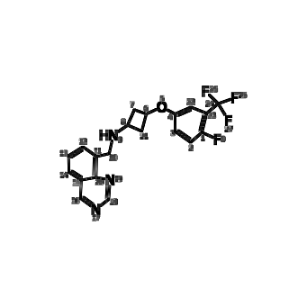 Fc1ccc(OC2CC(NCc3cccc4cncnc34)C2)cc1C(F)(F)F